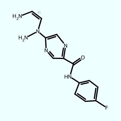 N/C=C\N(N)c1cnc(C(=O)Nc2ccc(F)cc2)cn1